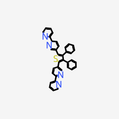 c1ccc(-c2c(-c3ccc(-c4ccccn4)nc3)sc(-c3ccc(-c4ccccn4)nc3)c2-c2ccccc2)cc1